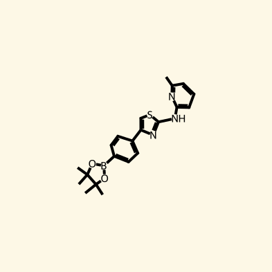 Cc1cccc(Nc2nc(-c3ccc(B4OC(C)(C)C(C)(C)O4)cc3)cs2)n1